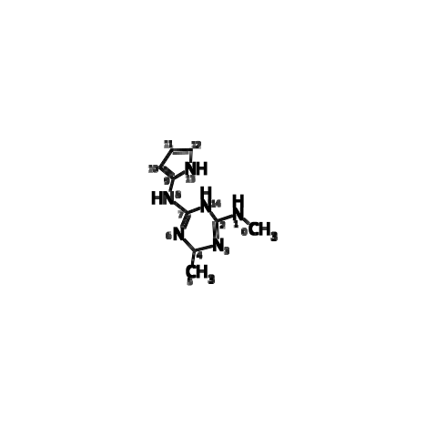 CNC1=NC(C)N=C(Nc2ccc[nH]2)N1